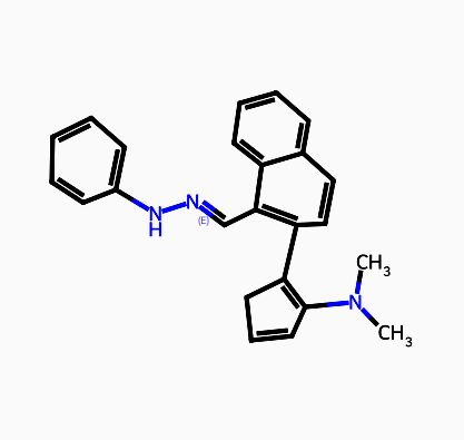 CN(C)C1=C(c2ccc3ccccc3c2/C=N/Nc2ccccc2)CC=C1